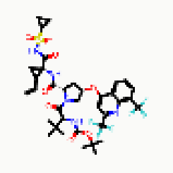 C=CC1C[C@]1(NC(=O)[C@@H]1C[C@@H](Oc2cc(C(F)(F)F)nc3c(C(F)(F)F)cccc23)CN1C(=O)[C@@H](NC(=O)OC(C)(C)C)C(C)(C)C)C(=O)NS(=O)(=O)C1CC1